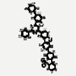 O=S1(=O)c2ccccc2-c2ccc(-c3ccc4c(c3)oc3ccc(-c5nc(-c6ccccc6)nc6c5oc5ccc(-c7ccccc7)cc56)cc34)cc21